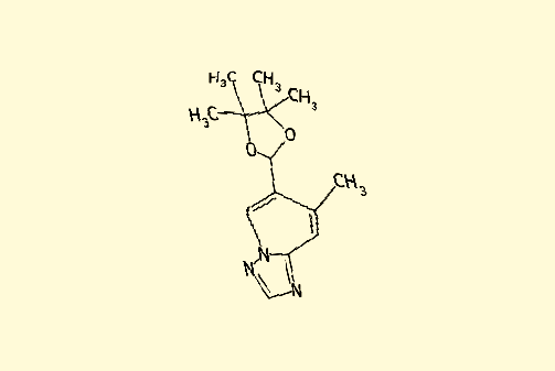 Cc1cc2ncnn2cc1C1OC(C)(C)C(C)(C)O1